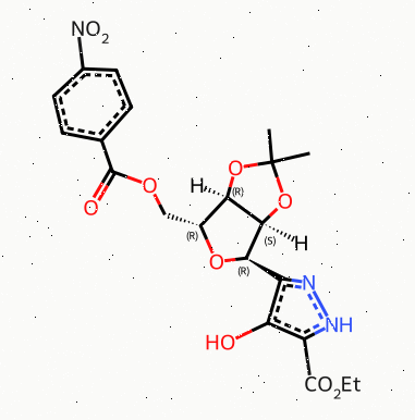 CCOC(=O)c1[nH]nc([C@H]2O[C@H](COC(=O)c3ccc([N+](=O)[O-])cc3)[C@H]3OC(C)(C)O[C@H]32)c1O